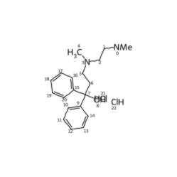 CNCCN(C)CCC(O)(c1ccccc1)c1ccccc1.Cl.Cl